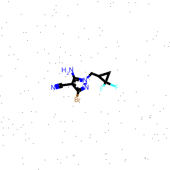 N#Cc1c(Br)nn(CC2CC2(F)F)c1N